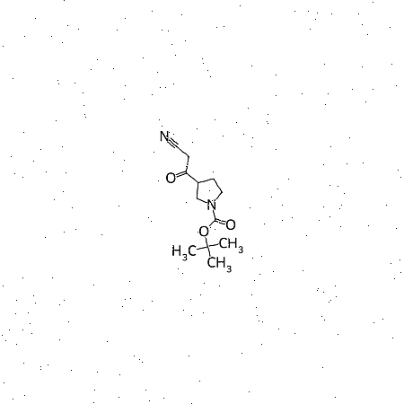 CC(C)(C)OC(=O)N1CCC(C(=O)CC#N)C1